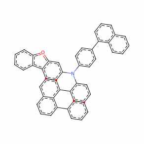 c1ccc(-c2cccc3cccc(-c4ccccc4N(c4ccc(-c5cccc6ccccc56)cc4)c4ccc5c(c4)oc4ccccc45)c23)cc1